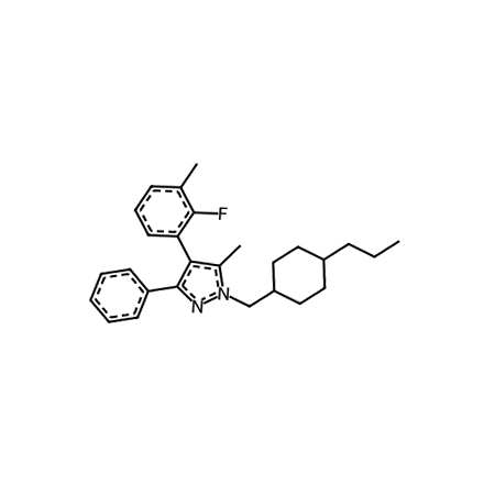 CCCC1CCC(Cn2nc(-c3ccccc3)c(-c3cccc(C)c3F)c2C)CC1